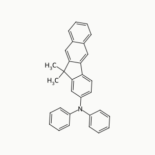 CC1(C)c2cc(N(c3ccccc3)c3ccccc3)ccc2-c2cc3ccccc3cc21